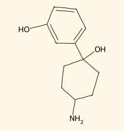 NC1CCC(O)(c2cccc(O)c2)CC1